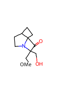 COCC1(CO)C(=O)C23CCC2CCN13